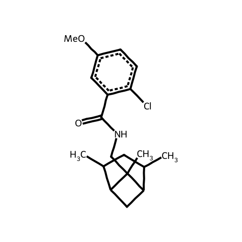 COc1ccc(Cl)c(C(=O)NCC2(C)C3CC2C(C)CC3C)c1